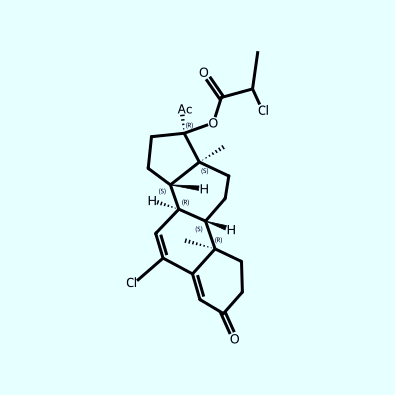 CC(=O)[C@@]1(OC(=O)C(C)Cl)CC[C@H]2[C@@H]3C=C(Cl)C4=CC(=O)CC[C@]4(C)[C@H]3CC[C@@]21C